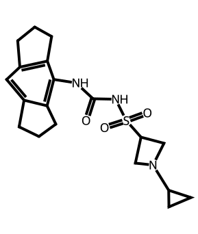 O=C(Nc1c2c(cc3c1CCC3)CCC2)NS(=O)(=O)C1CN(C2CC2)C1